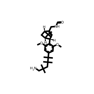 COc1cc(C(C)(C)C(C)(C)CC(C)(C)CN)cc(OC)c1[C@H]1C=C(CNC=O)[C@H]2C[C@@H]1C2(C)C